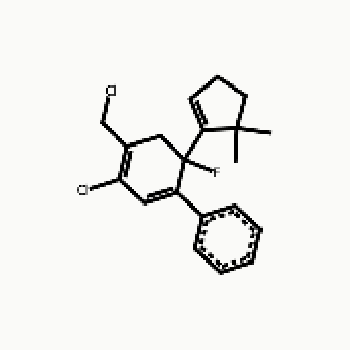 CC1(C)CCC=C1C1(F)CC(CCl)=C(Cl)C=C1c1ccccc1